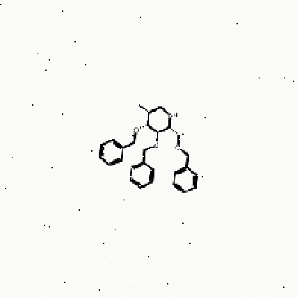 C[C@H]1CN[C@H](COCc2ccccc2)[C@@H](OCc2ccccc2)[C@@H]1OCc1ccccc1